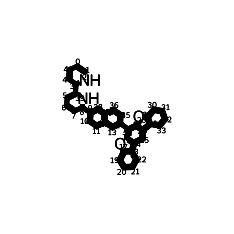 C1=CNC(C2=CC=CC(c3ccc4cc(-c5c6oc7ccccc7c6cc6c5oc5ccccc56)ccc4c3)N2)C=C1